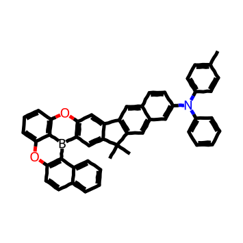 Cc1ccc(N(c2ccccc2)c2ccc3cc4c(cc3c2)C(C)(C)c2cc3c(cc2-4)Oc2cccc4c2B3c2c(ccc3ccccc23)O4)cc1